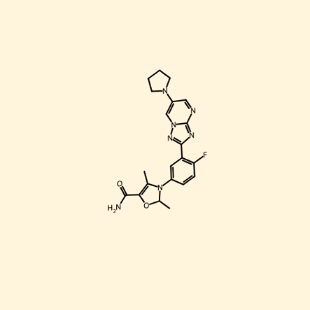 CC1=C(C(N)=O)OC(C)N1c1ccc(F)c(-c2nc3ncc(N4CCCC4)cn3n2)c1